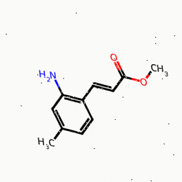 COC(=O)C=Cc1ccc(C)cc1N